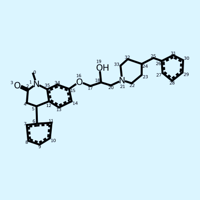 CN1C(=O)CC(c2ccccc2)c2ccc(OCC(O)CN3CCC(Cc4ccccc4)CC3)cc21